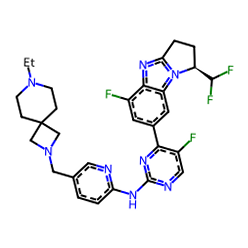 CCN1CCC2(CC1)CN(Cc1ccc(Nc3ncc(F)c(-c4cc(F)c5nc6n(c5c4)[C@H](C(F)F)CC6)n3)nc1)C2